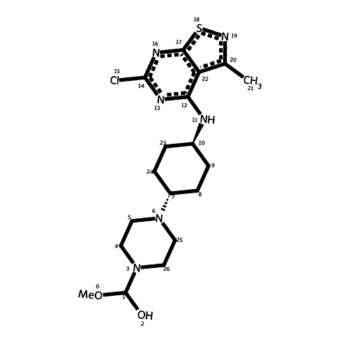 COC(O)N1CCN([C@H]2CC[C@H](Nc3nc(Cl)nc4snc(C)c34)CC2)CC1